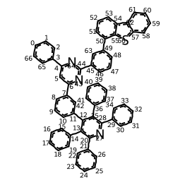 c1ccc(-c2cc(-c3cccc(-c4c(-c5ccccc5)c(-c5ccccc5)nc(-c5ccccc5)c4-c4ccccc4)c3)nc(-c3cccc(-c4cccc5c4sc4ccccc45)c3)n2)cc1